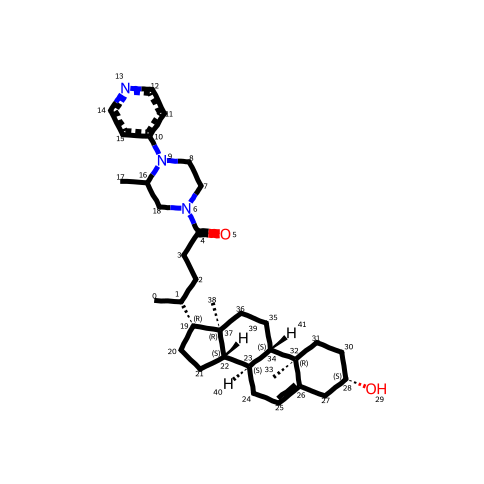 CC(CCC(=O)N1CCN(c2ccncc2)C(C)C1)[C@H]1CC[C@H]2[C@@H]3CC=C4C[C@@H](O)CC[C@]4(C)[C@H]3CC[C@]12C